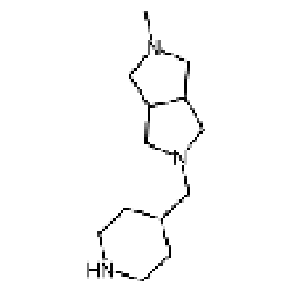 CN1CC2CN(CC3CCNCC3)CC2C1